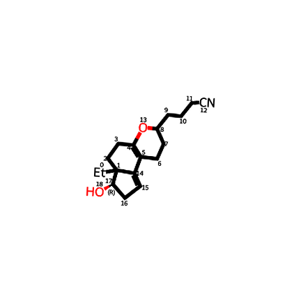 CCC12CCC3=C(CCC(CCCC#N)O3)C1=CC[C@H]2O